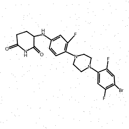 O=C1CCC(Nc2ccc(N3CCN(c4cc(F)c(Br)cc4F)CC3)c(F)c2)C(=O)N1